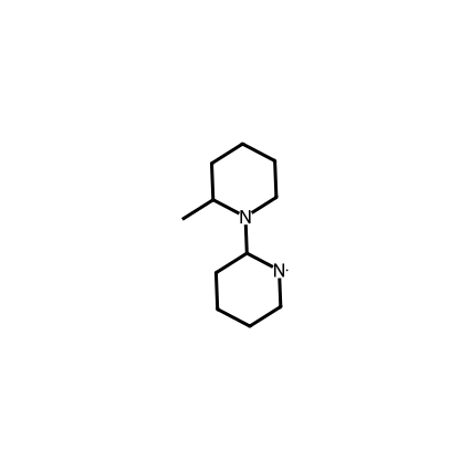 CC1CCCCN1C1CCCC[N]1